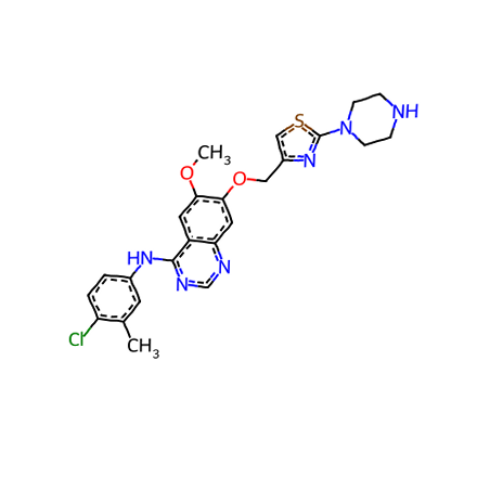 COc1cc2c(Nc3ccc(Cl)c(C)c3)ncnc2cc1OCc1csc(N2CCNCC2)n1